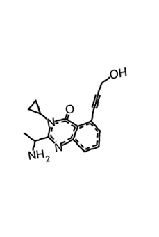 CC(N)c1nc2cccc(C#CCO)c2c(=O)n1C1CC1